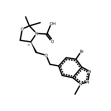 Cn1nnc2c(Br)cc(COC[C@H]3COC(C)(C)N3C(=O)O)cc21